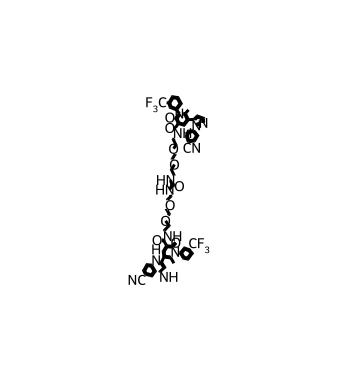 Cc1c(/C(=C/C=N)Nc2ccc(C#N)cc2)cc(C(=O)NCCOCCOCCNC(=O)NCCOCCOCCNC(=O)c2cc(-c3ccnn3-c3ccc(C#N)cc3)c(C)n(-c3cccc(C(F)(F)F)c3)c2=O)c(=O)n1-c1cccc(C(F)(F)F)c1